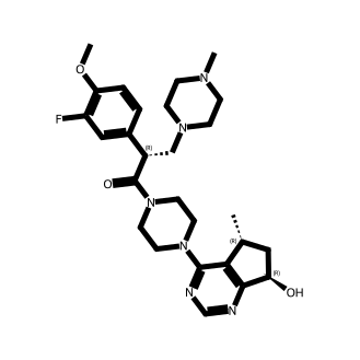 COc1ccc([C@H](CN2CCN(C)CC2)C(=O)N2CCN(c3ncnc4c3[C@H](C)C[C@H]4O)CC2)cc1F